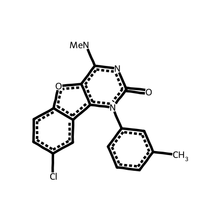 CNc1nc(=O)n(-c2cccc(C)c2)c2c1oc1ccc(Cl)cc12